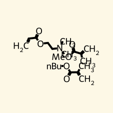 C=C(C)C(=O)OC.C=C(C)C(=O)OCCCC.C=CC(=O)OCCN(C)C